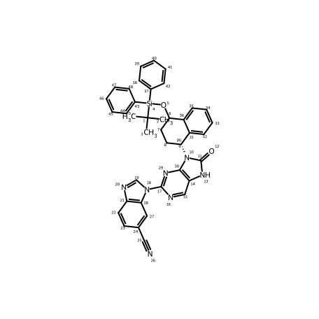 CC(C)(C)[Si](OC1CC[C@@H](n2c(=O)[nH]c3cnc(-n4cnc5ccc(C#N)cc54)nc32)c2ccccc21)(c1ccccc1)c1ccccc1